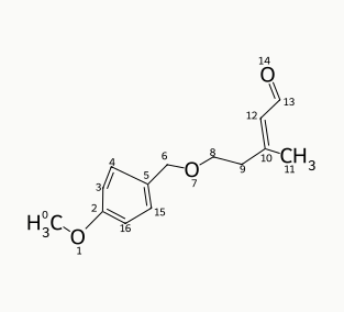 COc1ccc(COCCC(C)=CC=O)cc1